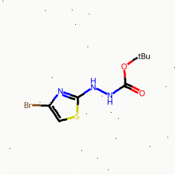 CC(C)(C)OC(=O)NNc1nc(Br)cs1